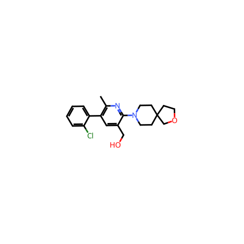 Cc1nc(N2CCC3(CCOC3)CC2)c(CO)cc1-c1ccccc1Cl